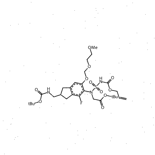 C=CCOC(=O)NS(=O)(=O)N(CC(=O)OC(C)(C)C)c1c(OCOCCOC)cc2c(c1F)CC(CNC(=O)OC(C)(C)C)C2